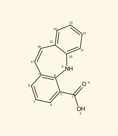 O=C(O)c1cccc2c1Nc1ccccc1C=C2